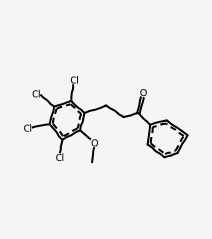 COc1c(Cl)c(Cl)c(Cl)c(Cl)c1CCC(=O)c1ccccc1